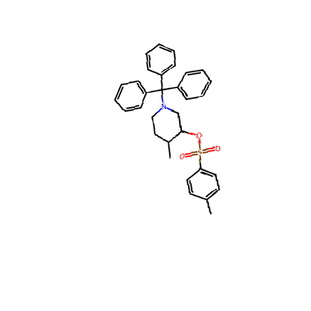 Cc1ccc(S(=O)(=O)OC2CN(C(c3ccccc3)(c3ccccc3)c3ccccc3)CCC2C)cc1